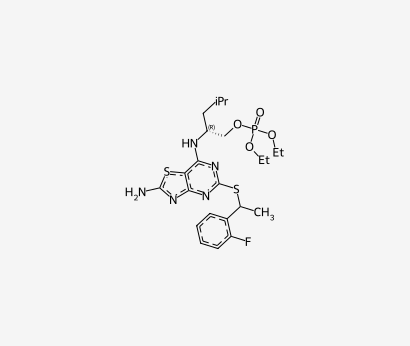 CCOP(=O)(OCC)OC[C@@H](CC(C)C)Nc1nc(SC(C)c2ccccc2F)nc2nc(N)sc12